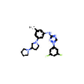 Cc1cc(Nc2ncn(-c3cc(F)cc(F)c3)n2)cc(N2CCC(N3CCCC3)C2)c1